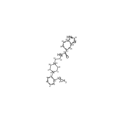 COc1ccccc1N1CCN(CCNC(=O)c2ccc3[nH]cnc3c2)CC1